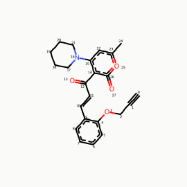 C#CCOc1ccccc1/C=C/C(=O)c1c(N2CCCCC2)cc(C)oc1=O